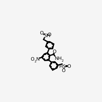 NC(=O)c1c(-c2cccc(C[SH](=O)=O)c2)cc([N+](=O)[O-])cc1-c1cccc(C[SH](=O)=O)c1